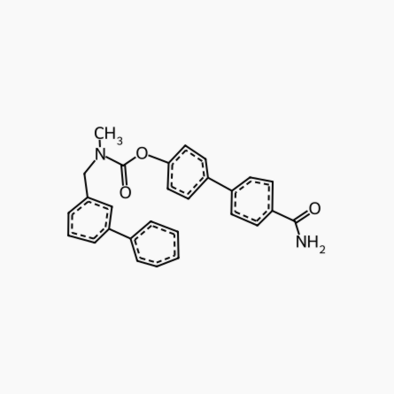 CN(Cc1cccc(-c2ccccc2)c1)C(=O)Oc1ccc(-c2ccc(C(N)=O)cc2)cc1